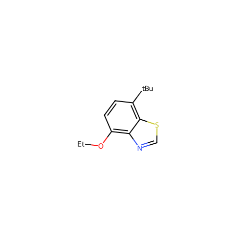 CCOc1ccc(C(C)(C)C)c2scnc12